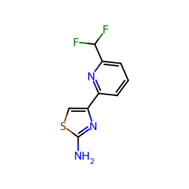 Nc1nc(-c2cccc(C(F)F)n2)cs1